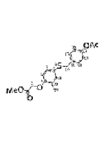 COC(=O)COc1ccc(SCc2ccc(OC(C)=O)cc2)cc1C